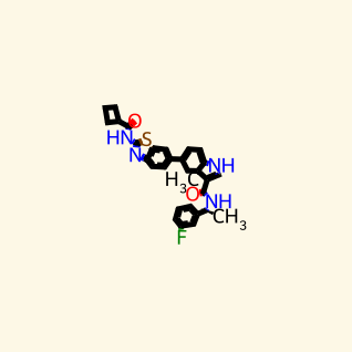 C[C@H](NC(=O)C1=CNC2=CC=C(c3ccc4nc(NC(=O)C5CCC5)sc4c3)CC21C)c1cccc(F)c1